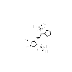 C=C[C@H]1C(=O)C[C@@H](O[Si](C)(C)C(C)(C)C)[C@H]1C=C[C@@H](O[Si](C)(C)C(C)(C)C)C1CCCC1